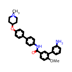 COc1ccc(C(=O)Nc2ccc(-c3ccc(OC4CCN(C)CC4)cc3)cc2)cc1-c1cccc(N)c1